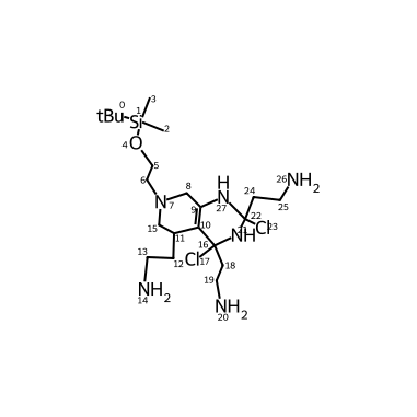 CC(C)(C)[Si](C)(C)OCCN1CC2=C(C(CCN)C1)C(Cl)(CCN)NC(Cl)(CCN)N2